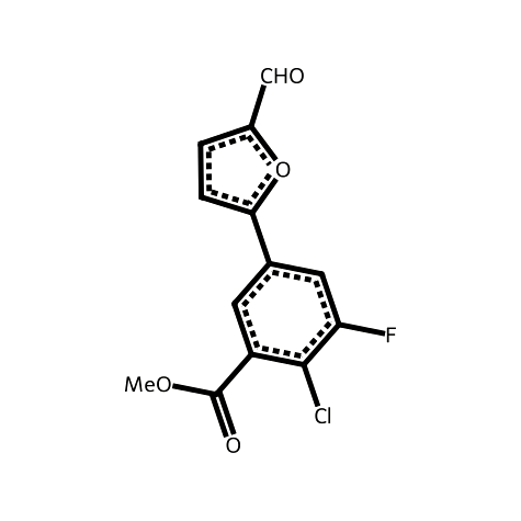 COC(=O)c1cc(-c2ccc(C=O)o2)cc(F)c1Cl